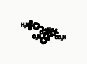 CC1(C)S[C@H]2N(C(=O)C2(NC(=O)Cc2ccc(S(N)(=O)=O)cc2)Sc2ccccc2[N+](=O)[O-])[C@H]1C(=O)O